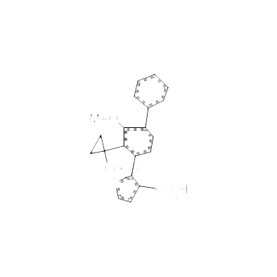 CCOC(=O)C1(c2c(-c3sccc3C(=O)O)ccc(-c3ccccc3)c2OC)CC1